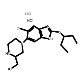 CCC(CC)Sc1nc2cc(Cl)c(N3CCNC(CO)C3)cc2[nH]1.Cl.Cl